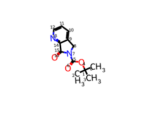 CC(C)(C)OC(=O)N1Cc2cccnc2C1=O